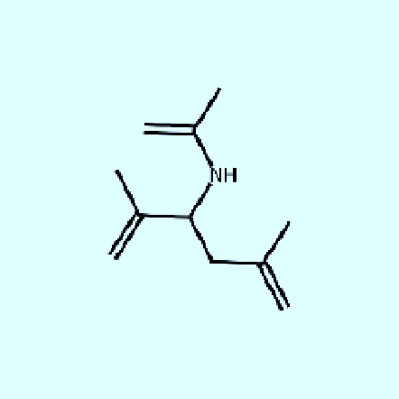 C=C(C)CC(NC(=C)C)C(=C)C